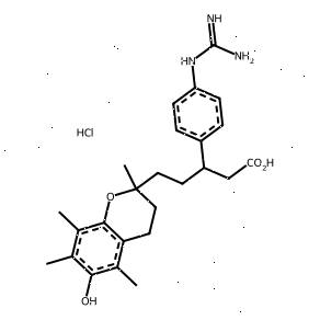 Cc1c(C)c2c(c(C)c1O)CCC(C)(CCC(CC(=O)O)c1ccc(NC(=N)N)cc1)O2.Cl